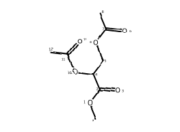 COC(=O)C(COC(C)=O)OC(C)=O